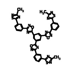 Cc1nsc(-c2cccc(-c3noc(-c4cc(-c5nc(-c6cccc(-c7nc(C)ns7)c6)no5)cc(-c5nc(-c6cccc(-c7nc(C)ns7)c6)no5)c4)n3)c2)n1